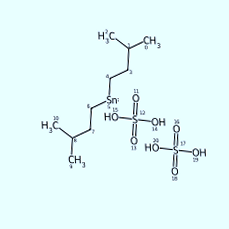 CC(C)C[CH2][Sn][CH2]CC(C)C.O=S(=O)(O)O.O=S(=O)(O)O